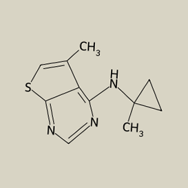 Cc1csc2ncnc(NC3(C)CC3)c12